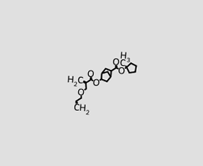 C=CCOCC(=C)C(=O)OC1CC2CC1CC2C(=O)OC1(C)CCCC1